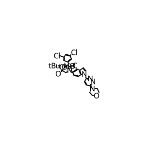 Cc1c(N(CC(=O)OC(C)(C)C)S(=O)(=O)c2cc(Cl)cc(Cl)c2)ccc2c1ccn2-c1ccc(N2CCOCC2)nn1